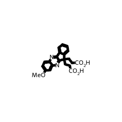 COc1ccc2nc3c(nc2c1)C(CCC(=O)O)(CCC(=O)O)c1ccccc1-3